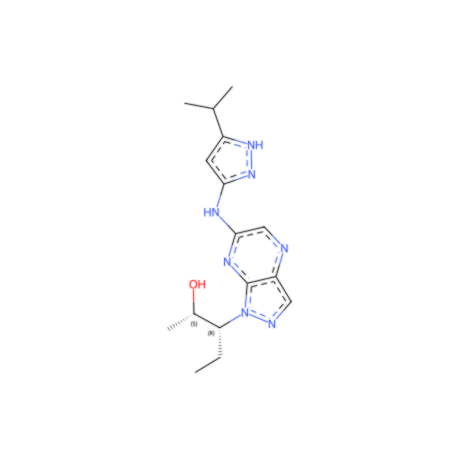 CC[C@H]([C@H](C)O)n1ncc2ncc(Nc3cc(C(C)C)[nH]n3)nc21